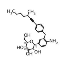 CCCCC(C)C#Cc1ccc(Cc2cc([C@@H]3O[C@H](CO)[C@@H](O)[C@H](O)C3O)ccc2N)cc1